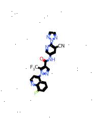 N#Cc1cc(NC(=O)c2cnn(-c3ccnc4c(F)cccc34)c2C(F)(F)F)cnc1-n1nccn1